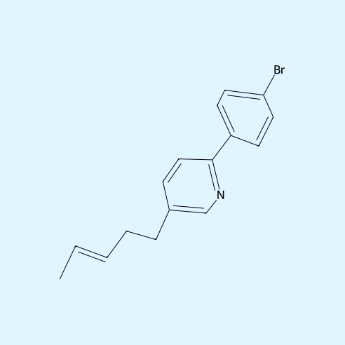 C/C=C/CCc1ccc(-c2ccc(Br)cc2)nc1